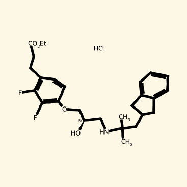 CCOC(=O)CCc1ccc(OC[C@H](O)CNC(C)(C)CC2Cc3ccccc3C2)c(F)c1F.Cl